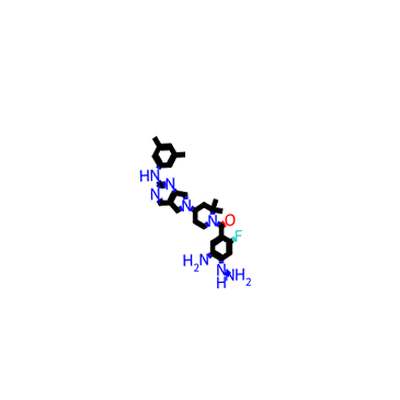 Cc1cc(C)cc(Nc2ncc3c(n2)CN(C2CCN(C(=O)c4cc(N)c(NN)cc4F)C(C)(C)C2)C3)c1